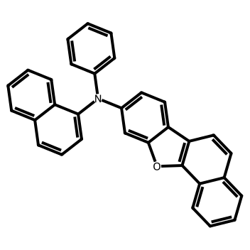 c1ccc(N(c2ccc3c(c2)oc2c4ccccc4ccc32)c2cccc3ccccc23)cc1